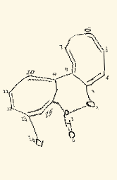 O=[PH]1Oc2ccccc2-c2cccc(Cl)c21